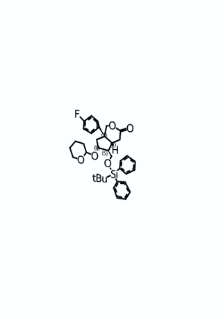 CC(C)(C)[Si](OC[C@@H]1[C@H]2CC(=O)OC[C@@]2(c2ccc(F)cc2)C[C@H]1OC1CCCCO1)(c1ccccc1)c1ccccc1